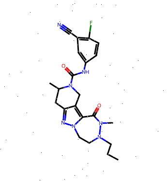 CCCN1CCn2nc3c(c2C(=O)N1C)CN(C(=O)Nc1ccc(F)c(C#N)c1)C(C)C3